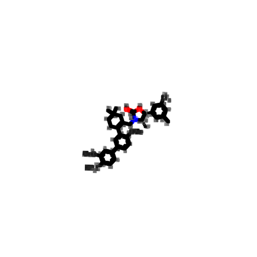 COc1cc(-c2ccc(OC)c(C3=C(CN4C(=O)O[C@H](c5cc(C)cc(C(F)(F)F)c5)[C@@H]4C)CC(C)(C)CC3)c2)ccc1C(=O)O